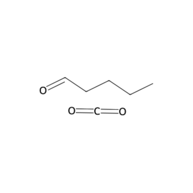 CCCCC=O.O=C=O